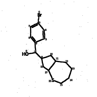 OC(c1ccc(Br)cc1)C1CC2CCCCSC2C1